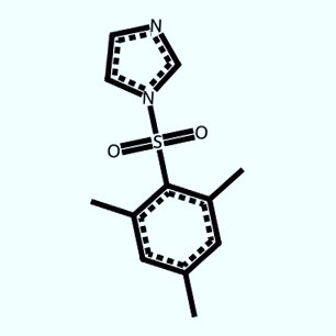 Cc1cc(C)c(S(=O)(=O)n2ccnc2)c(C)c1